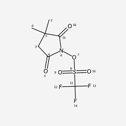 CC1(C)CC(=O)N(OS(=O)(=O)C(F)(F)F)C1=O